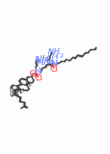 CCCCCCCCCCCCCCNC(=O)C(CCCN(CCCN)C(=O)OC1CC[C@@]2(C)C(=CCC3C2CC[C@@]2(C)C3CC[C@@H]2[C@H](C)CCCC(C)C)C1)NCCCN